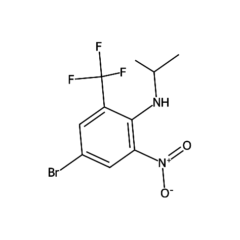 CC(C)Nc1c([N+](=O)[O-])cc(Br)cc1C(F)(F)F